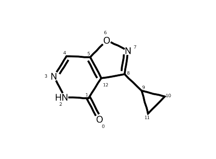 O=c1[nH]ncc2onc(C3CC3)c12